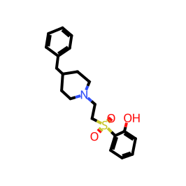 O=S(=O)(CCN1CCC(Cc2ccccc2)CC1)c1ccccc1O